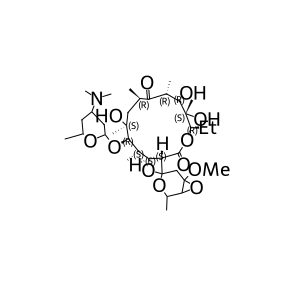 CC[C@H]1OC(=O)[C@H]2[C@@H](OC23CC2(OC)OC2C(C)O3)[C@H](C)[C@@H](OC2CC(N(C)C)CC(C)O2)[C@@](C)(O)C[C@@H](C)C(=O)[C@H](C)[C@@H](O)[C@]1(C)O